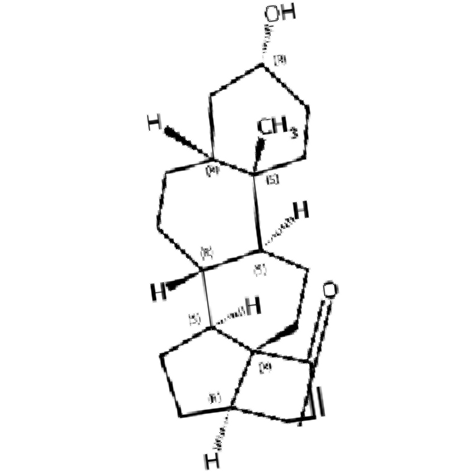 C[C@]12CC[C@@H](O)C[C@H]1CC[C@@H]1[C@@H]2CC[C@@]23C(=O)C=CC[C@H]2CC[C@@H]13